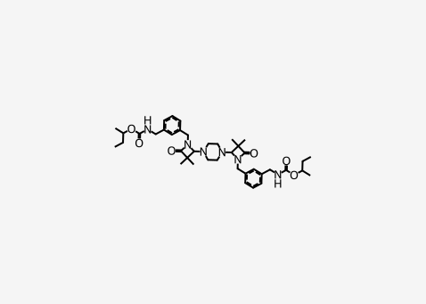 CCC(C)OC(=O)NCc1cccc(CN2C(=O)C(C)(C)C2N2CCN(C3N(Cc4cccc(CNC(=O)OC(C)CC)c4)C(=O)C3(C)C)CC2)c1